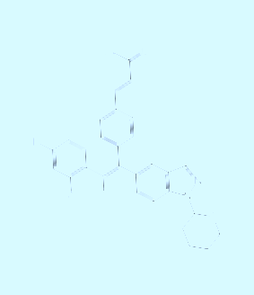 CC/C(=C(/c1ccc(/C=C/C(=O)Cl)cc1)c1ccc2c(cnn2C2CCCCO2)c1)c1ccc(F)cc1Cl